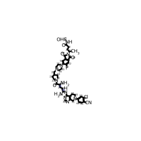 CC(CCC(=O)NC=O)N1C(=O)c2cc(F)c(N3CCN(CC4CCN(C(=O)/C(N)=C/C=C(\N)Nc5ncnc6c5CCN(c5ccc(C#N)c(Cl)c5)C6)CC4)CC3)cc2C1=O